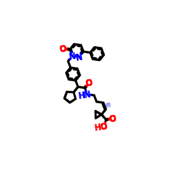 O=C(NCC/C=C\C1(C(=O)O)CC1)C(c1ccc(Cn2nc(-c3ccccc3)ccc2=O)cc1)C1CCCC1